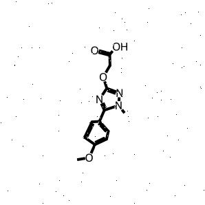 COc1ccc(-c2nc(OCC(=O)O)nn2C)cc1